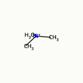 CCCCCCCCCCCCCCCCCC[n+]1ccn(CCC)c1CCCCCCCCCCCCCCCCC